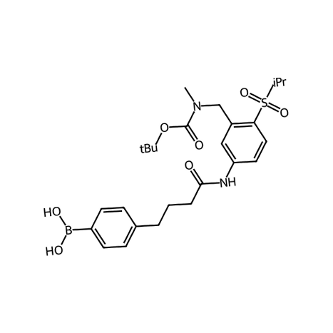 CC(C)S(=O)(=O)c1ccc(NC(=O)CCCc2ccc(B(O)O)cc2)cc1CN(C)C(=O)OC(C)(C)C